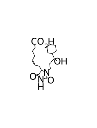 O=C(O)CCC/C=C\CC1C(=O)NC(=O)N1CCC(O)C1CCCCC1